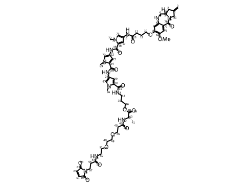 C=C1C[C@@H]2C=Nc3cc(OCCCC(=O)Nc4cc(C(=O)Nc5cc(C(=O)Nc6cc(C(=O)NCCCOC(=O)[C@H](C)NC(=O)CCOCCOCCNC(=O)CCN7C(=O)C=CC7=O)n(C)c6)n(C)c5)n(C)c4)c(OC)cc3C(=O)N2C1